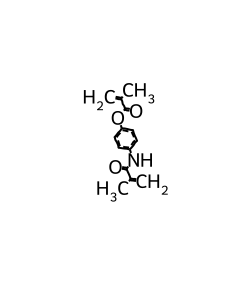 C=C(C)C(=O)Nc1ccc(OC(=O)C(=C)C)cc1